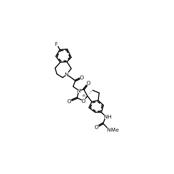 CNC(=O)Nc1ccc2c(c1)CC[C@@]21OC(=O)N(CC(=O)N2CCCc3cc(F)ccc3C2)C1=O